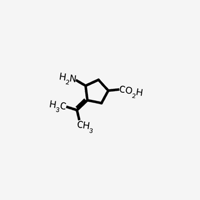 CC(C)=C1CC(C(=O)O)CC1N